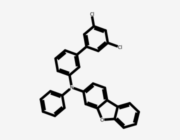 Clc1cc(Cl)cc(-c2cccc(N(c3ccccc3)c3ccc4c(c3)oc3ccccc34)c2)c1